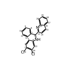 Clc1ccc(NC(c2ccccc2)c2ccc3ccccc3n2)cc1Cl